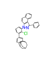 Clc1c(-c2ccc3c(c2)C2CC4CC(CC3C4)C2)cccc1-n1nc(-c2ccccc2)c2c3ccccc3ccc21